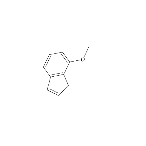 COc1cccc2c1CC=C2